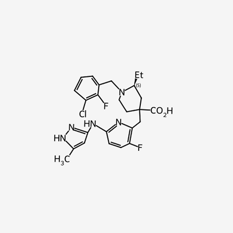 CC[C@H]1CC(Cc2nc(Nc3cc(C)[nH]n3)ccc2F)(C(=O)O)CCN1Cc1cccc(Cl)c1F